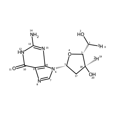 [2H]C(O)[C@H]1O[C@@H](n2cnc3c(=O)[nH]c(N)nc32)C[C@]1([2H])O